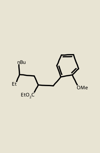 CCCCC(CC)CC(Cc1ccccc1OC)C(=O)OCC